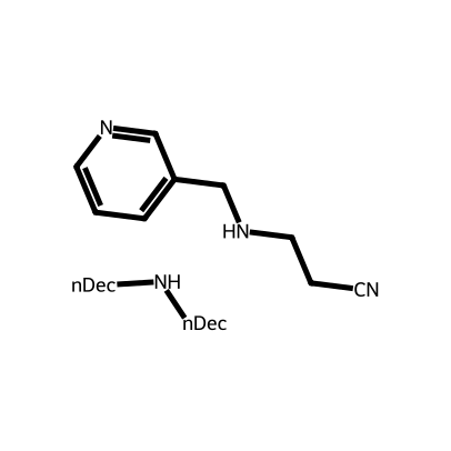 CCCCCCCCCCNCCCCCCCCCC.N#CCCNCc1cccnc1